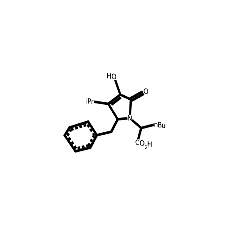 CCCCC(C(=O)O)N1C(=O)C(O)=C(C(C)C)C1Cc1ccccc1